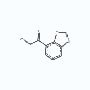 CC(C)CC(=O)c1cccc2c1OCO2